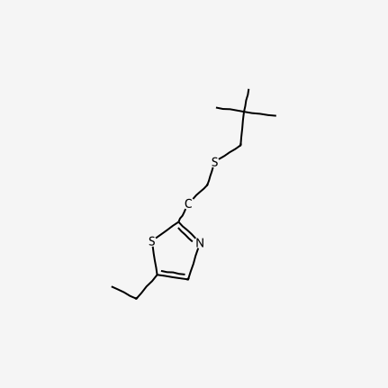 CCc1cnc(CCSCC(C)(C)C)s1